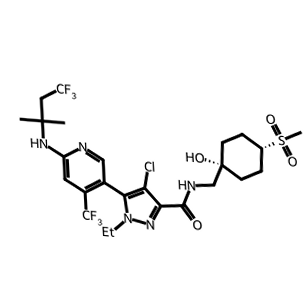 CCn1nc(C(=O)NC[C@]2(O)CC[C@@H](S(C)(=O)=O)CC2)c(Cl)c1-c1cnc(NC(C)(C)CC(F)(F)F)cc1C(F)(F)F